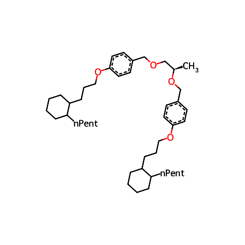 CCCCCC1CCCCC1CCCOc1ccc(COC[C@@H](C)OCc2ccc(OCCCC3CCCCC3CCCCC)cc2)cc1